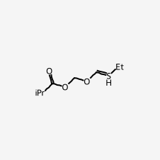 CC[SH]=COCOC(=O)C(C)C